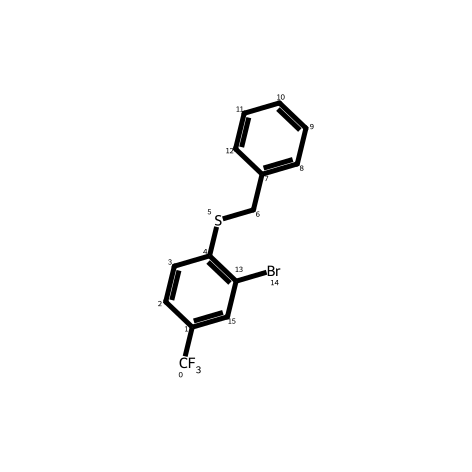 FC(F)(F)c1ccc(SCc2ccccc2)c(Br)c1